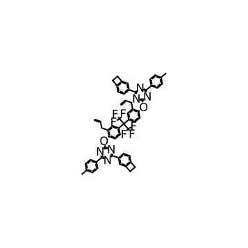 C=CCc1cc(C(c2ccc(Oc3nc(-c4ccc(C)cc4)nc(-c4ccc5c(c4)CC5)n3)c(CC=C)c2)(C(F)(F)F)C(F)(F)F)ccc1Oc1nc(-c2ccc(C)cc2)nc(-c2ccc3c(c2)CC3)n1